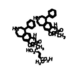 CS(=O)(=O)Nc1cc2c(cc1O)CCNCC2c1ccccc1.CS(=O)(=O)Nc1cc2c(cc1O)CCNCC2c1ccccc1.O.O=C(O)C=CC(=O)O